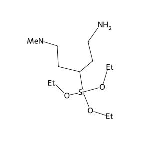 CCO[Si](OCC)(OCC)C(CCN)CCNC